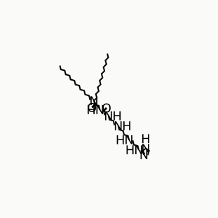 CCCCCCCCCCCCCCN(CCCCCCCCCCCCCC)C(=O)CNC(=O)CNCCCNCCCCNCCCNC1=NCCN1